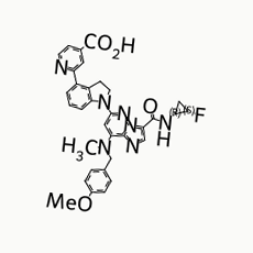 COc1ccc(CN(C)c2cc(N3CCc4c(-c5cc(C(=O)O)ccn5)cccc43)nn3c(C(=O)N[C@@H]4C[C@@H]4F)cnc23)cc1